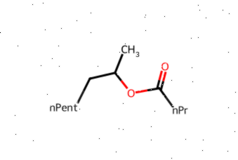 CCCCCCC(C)OC(=O)CCC